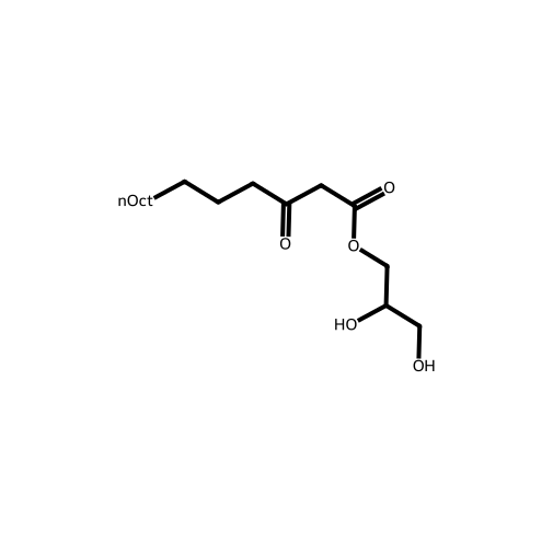 CCCCCCCCCCCC(=O)CC(=O)OCC(O)CO